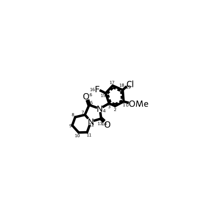 COc1cc(N2C(=O)C3CCCCN3C2=O)c(F)cc1Cl